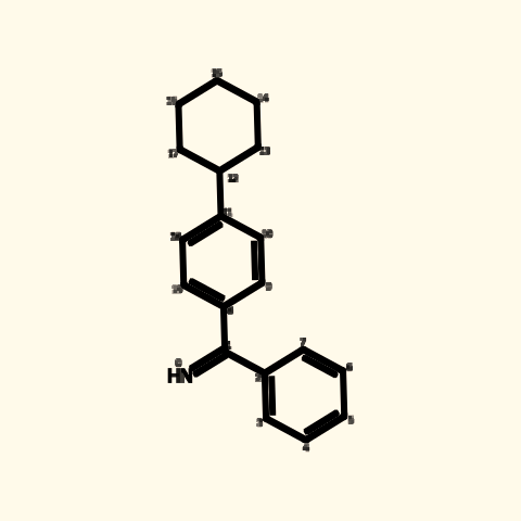 N=C(c1ccccc1)c1ccc(C2CCCCC2)cc1